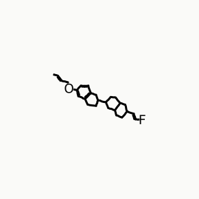 CC=CCOc1ccc2c(c1)CCC(C1CCC3CC(C=CF)CCC3C1)C2